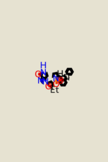 CC[C@H]1O[C@@H](n2cnc3c(=O)[nH]ccc32)CC1OP1O[C@H](C[Si](C)(c2ccccc2)c2ccccc2)[C@@H]2CCCN21